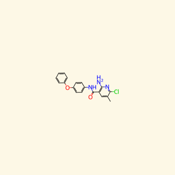 Cc1cc(C(=O)Nc2ccc(Oc3ccccc3)cc2)c(N)nc1Cl